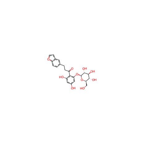 O=C(CCc1ccc2occc2c1)c1c(O)cc(O)cc1O[C@@H]1O[C@H](CO)[C@@H](O)[C@H](O)[C@H]1O